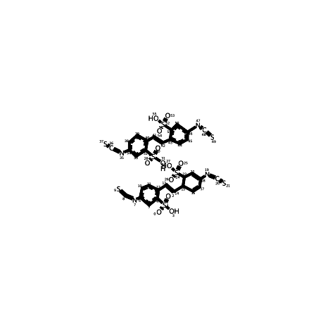 O=S(=O)(O)c1cc(N=C=S)ccc1C=CC1C=CC(N=C=S)=CC1S(=O)(=O)O.O=S(=O)(O)c1cc(N=C=S)ccc1C=Cc1ccc(N=C=S)cc1S(=O)(=O)O